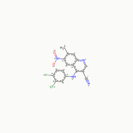 Cc1cc2ncc(C#N)c(Nc3ccc(F)c(Cl)c3)c2cc1[N+](=O)[O-]